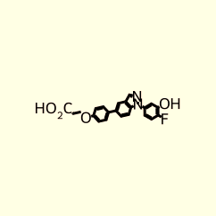 O=C(O)CCOc1ccc(-c2ccc3c(cnn3-c3ccc(F)c(O)c3)c2)cc1